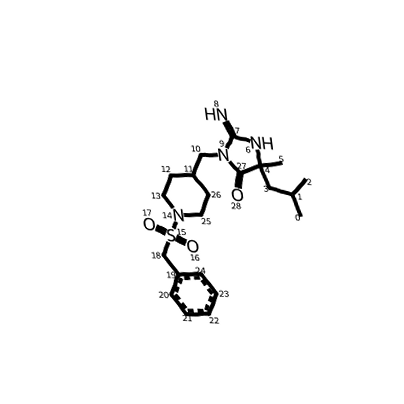 CC(C)CC1(C)NC(=N)N(CC2CCN(S(=O)(=O)Cc3ccccc3)CC2)C1=O